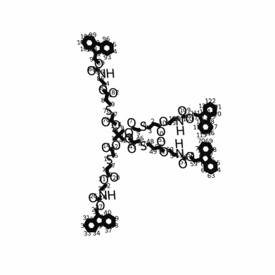 O=C(CCSCC(=O)OCC(COC(=O)CSCCC(=O)OCCNC(=O)OCC1c2ccccc2-c2ccccc21)(COC(=O)CSCCC(=O)OCCNC(=O)OCC1c2ccccc2-c2ccccc21)COC(=O)CSCCC(=O)OCCNC(=O)OCC1c2ccccc2-c2ccccc21)OCCNC(=O)OCC1c2ccccc2-c2ccccc21